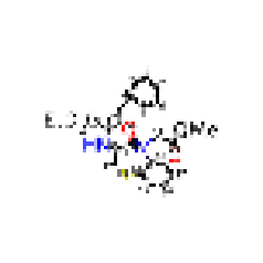 CCOC(=O)C(CCc1ccccc1)N[C@H]1CSc2ccccc2N(CC(=O)OC)C1=O